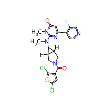 CN(c1nc(-c2ccncc2F)cc(=O)n1C)[C@@H]1[C@@H]2CN(C(=O)c3cc(Cl)sc3Cl)C[C@@H]21